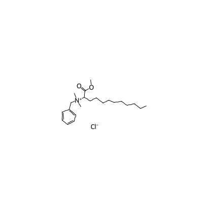 CCCCCCCCCCC(C(=O)OC)[N+](C)(C)Cc1ccccc1.[Cl-]